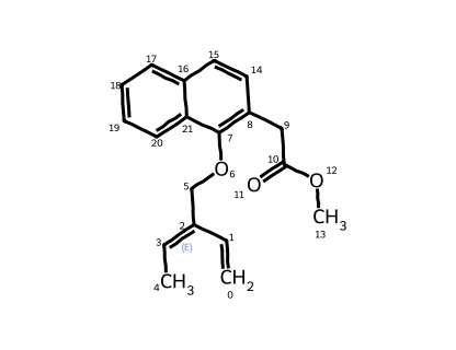 C=C/C(=C\C)COc1c(CC(=O)OC)ccc2ccccc12